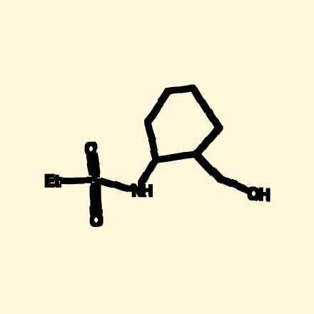 CCS(=O)(=O)NC1CCCCC1CO